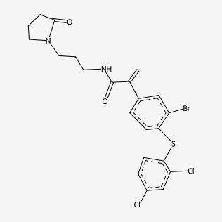 C=C(C(=O)NCCCN1CCCC1=O)c1ccc(Sc2ccc(Cl)cc2Cl)c(Br)c1